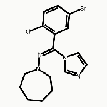 Clc1ccc(Br)cc1C(=NN1CCCCCC1)n1ccnc1